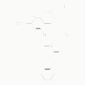 CSc1nc2c(c(N3CCN(C(=O)OCc4ccccc4)[C@@H](CC#N)C3)n1)CCN(C(=O)O)C2